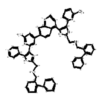 Cc1cc(-c2ccc3c(-c4[nH]c(CNCc5ccccc5-c5ccccc5)nc4-c4cccc(C)n4)ccnc3c2)cc(-c2nc(CNCc3ccccc3-c3ccccc3)[nH]c2-c2ccncc2)n1